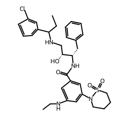 CCNc1cc(C(=O)N[C@@H](Cc2ccccc2)[C@H](O)CNC(CC)c2cccc(Cl)c2)cc(N2CCCCS2(=O)=O)c1